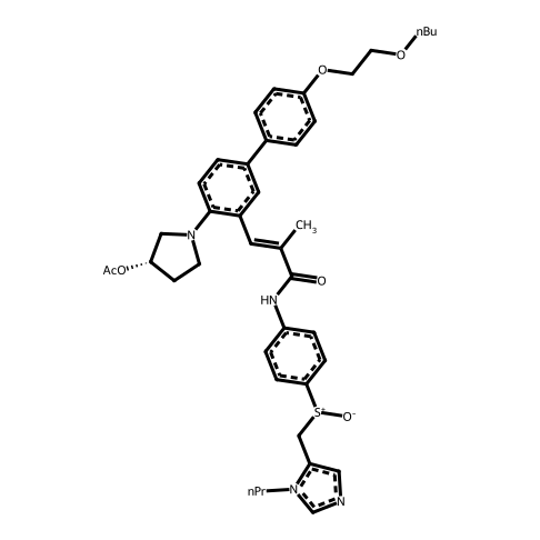 CCCCOCCOc1ccc(-c2ccc(N3CC[C@H](OC(C)=O)C3)c(/C=C(\C)C(=O)Nc3ccc([S+]([O-])Cc4cncn4CCC)cc3)c2)cc1